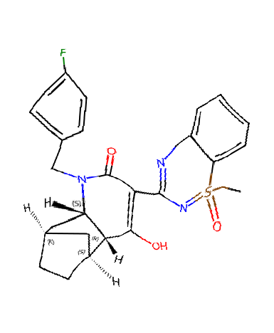 CS1(=O)=NC(C2=C(O)[C@@H]3[C@H]4CC[C@H](C4)[C@@H]3N(Cc3ccc(F)cc3)C2=O)=Nc2ccccc21